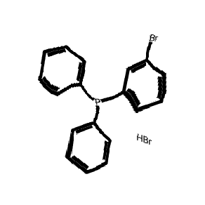 Br.Brc1cccc(P(c2ccccc2)c2ccccc2)c1